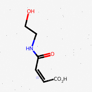 O=C(O)/C=C\C(=O)NCCO